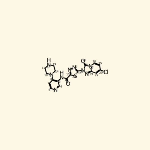 O=C(Nc1cnccc1N1CCNCC1)c1nnc(-n2nc3cc(Cl)ccn3c2=O)s1